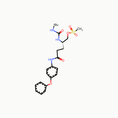 CC(C)(C)NC(=O)N[C@@H](CCC(=O)Nc1ccc(Oc2ccccc2)cc1)COS(C)(=O)=O